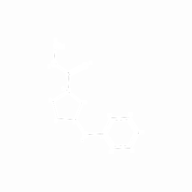 CC(C)(C)OC(=O)N1CCC(Oc2cc[c]cc2)C1